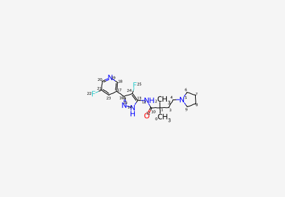 CC(C)(CCN1CCCC1)C(=O)Nc1[nH]nc(-c2cncc(F)c2)c1F